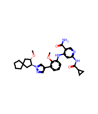 COc1c(Nc2cc(NC(=O)C3CC3)ncc2C(N)=O)cccc1-c1cnn([C@H]2CC3(CCCC3)C[C@@H]2OC)c1